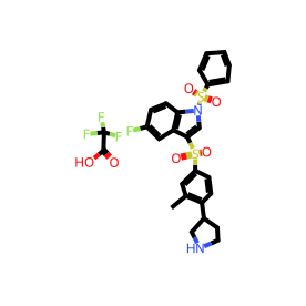 Cc1cc(S(=O)(=O)c2cn(S(=O)(=O)c3ccccc3)c3ccc(F)cc23)ccc1C1CCNC1.O=C(O)C(F)(F)F